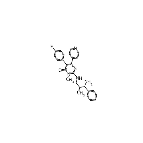 C[C@@H](CNc1nc(-c2ccncc2)c(-c2ccc(F)cc2)c(=O)n1C)[C@@H](N)c1ccccc1